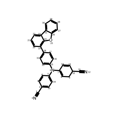 N#Cc1ccc(N(C2=CCC(C#N)C=C2)c2ccc(-c3cccc4c3oc3ccccc34)cc2)cc1